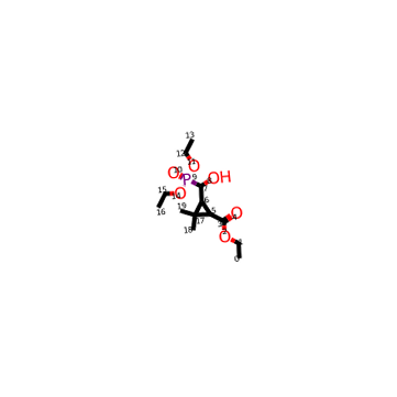 CCOC(=O)C1C(C(O)P(=O)(OCC)OCC)C1(C)C